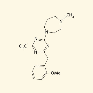 COc1ccccc1Cc1nc(N2CCCN(C)CC2)nc(C(Cl)(Cl)Cl)n1